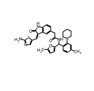 Cc1ccc(C(NC(=O)Cc2ccc3c(c2)/C(=C/c2cnc(N)s2)C(=O)N3)c2ccc(C)o2)c(N2CCCCC2)c1